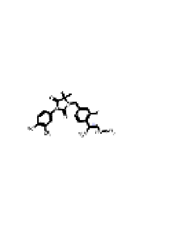 CC1(C)C(=O)N(c2ccc(C#N)c(C(F)(F)F)c2)C(=O)N1Cc1ccc(/C(N)=C/NN)c(F)c1